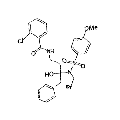 COc1ccc(S(=O)(=O)N(CC(C)C)C(O)(CCNC(=O)c2ccccc2Cl)Cc2ccccc2)cc1